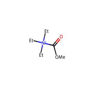 CC[N+](CC)(CC)C(=O)OC